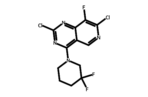 Fc1c(Cl)ncc2c(N3CCCC(F)(F)C3)nc(Cl)nc12